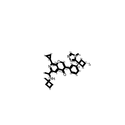 CC(NC1(C)CCC1)c1cc2c(=O)c(-c3cccc([C@]4(c5nncn5C)C[C@@H](C)C4)c3)coc2c(C2CC2)n1